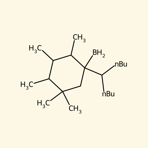 BC1(C(CCCC)CCCC)CC(C)(C)C(C)C(C)C1C